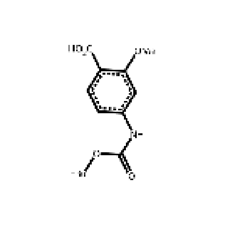 COc1cc(NC(=O)OC(C)(C)C)ccc1C(=O)O